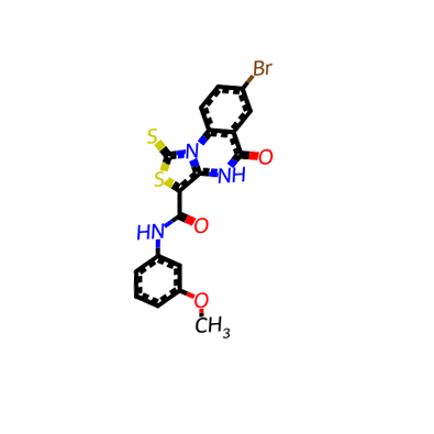 COc1cccc(NC(=O)c2sc(=S)n3c2[nH]c(=O)c2cc(Br)ccc23)c1